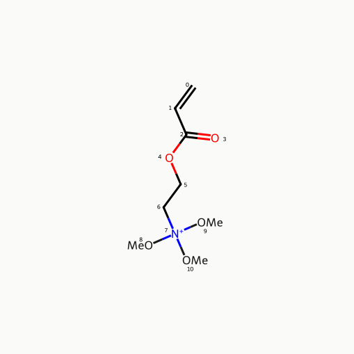 C=CC(=O)OCC[N+](OC)(OC)OC